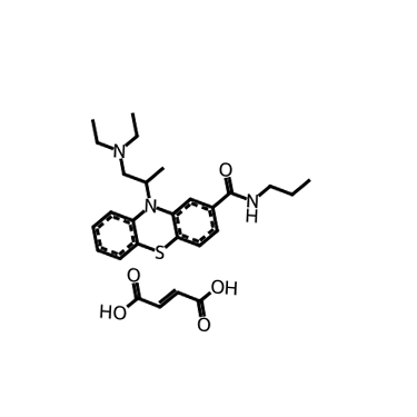 CCCNC(=O)c1ccc2c(c1)N(C(C)CN(CC)CC)c1ccccc1S2.O=C(O)C=CC(=O)O